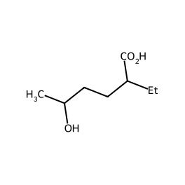 CCC(CCC(C)O)C(=O)O